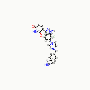 Cn1nc(C2CCC(=O)NC2=O)c2ccc(N3CCN(CC4CCC5(CC4)CNC5)CC3)c(F)c21